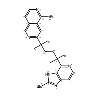 CC(C)(C)c1nc2ccnc(C(C)(C)CCC(C)(C)c3cc4c(C(C)(C)C)nccc4cn3)c2[nH]1